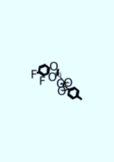 Cc1ccc(S(=O)(=O)OC[C@H]2COc3ccc(F)c(F)c3O2)cc1